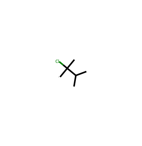 [CH2]C(C)(Cl)C(C)C